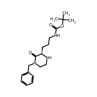 CC(C)(C)OC(=O)NCCC[C@H]1NCCN(Cc2ccccc2)C1=O